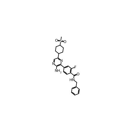 CS(=O)(=O)C1CCC(c2cnc(N)c(-c3ccc(C(=O)NCc4ccccc4)c(F)c3)n2)CC1